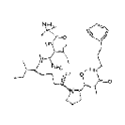 CCC(C)C(CCCC(=O)N1CCCC1C(OC)C(C)C(=O)NCCCc1ccccc1)N(C)C(N)C(NC(=O)C(C)(C)N)C(C)C